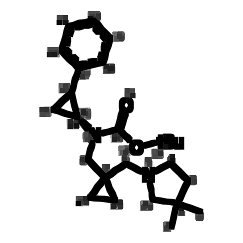 CC1(C)CCN(CC2(CN(C(=O)OC(C)(C)C)[C@H]3CC3c3ccccc3)CC2)C1